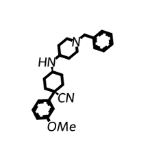 COc1cccc([C@]2(C#N)CC[C@@H](NC3CCN(Cc4ccccc4)CC3)CC2)c1